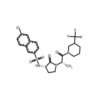 C[C@@H](C(=O)N1CCCC(C(F)(F)F)C1)N1CC[C@H](NS(=O)(=O)c2ccc3cc(Cl)ccc3c2)C1=O